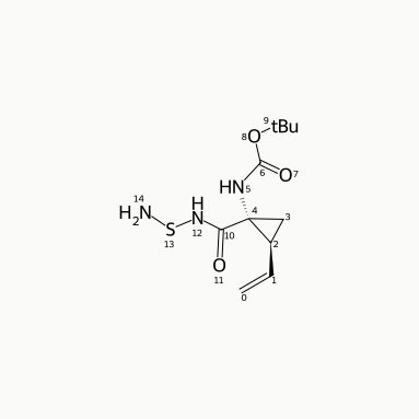 C=C[C@@H]1C[C@]1(NC(=O)OC(C)(C)C)C(=O)NSN